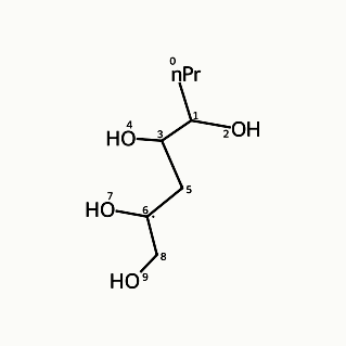 CCCC(O)C(O)C[C](O)CO